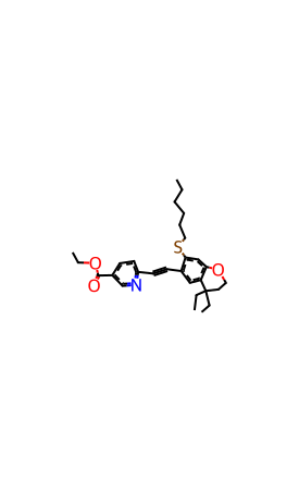 CCCCCCSc1cc2c(cc1C#Cc1ccc(C(=O)OCC)cn1)C(CC)(CC)CCO2